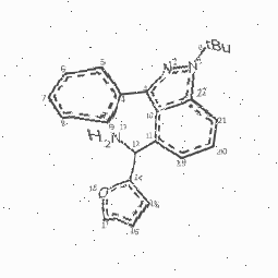 CC(C)(C)n1nc(-c2ccccc2)c2c(C(N)c3ccco3)cccc21